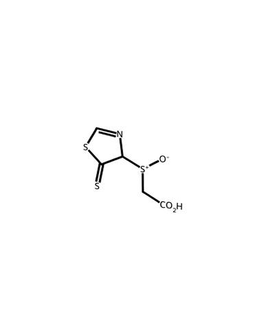 O=C(O)C[S+]([O-])C1N=CSC1=S